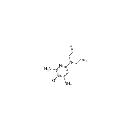 C=CCN(CC=C)c1cc(N)[n+]([O-])c(N)n1